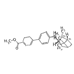 COC(=O)c1ccc(-c2ccc(N[C@H]3CC4C[C@@H]([C@@H]3C)C4(C)C)cc2)cc1